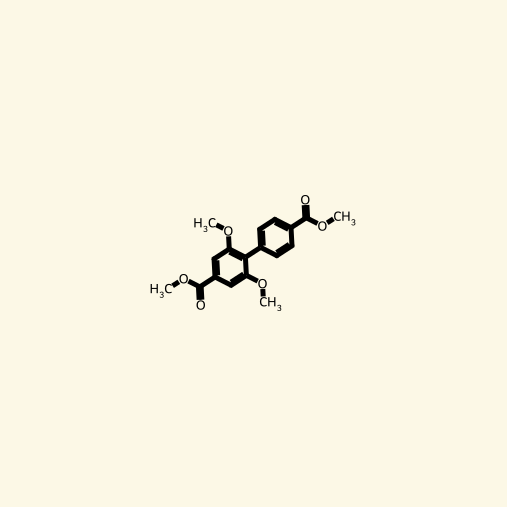 COC(=O)c1ccc(-c2c(OC)cc(C(=O)OC)cc2OC)cc1